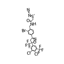 CS(CC(=O)NCc1ccc(C2=NOC(c3cc(Cl)c(Cl)c(C(F)(F)F)c3)(C(F)(F)F)C2)cc1Br)=NC#N